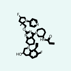 C#Cc1c(F)ccc2c1N([C@@H]1CCc3c(nc(OC[C@]4(C)C[C@@H](F)CN4c4ccncc4)nc3N3CCCCC(NC(=O)C=C)C3)C1)C[C@H](O)C2